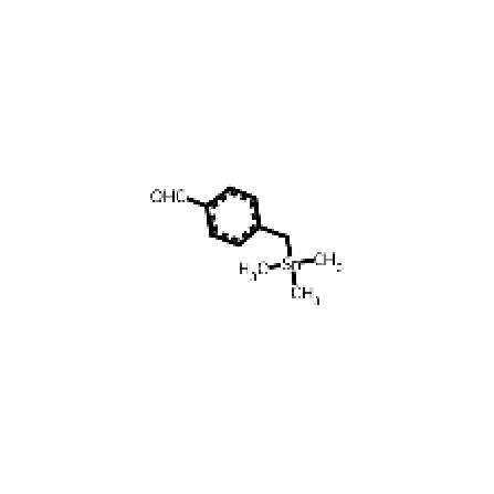 [CH3][Sn]([CH3])([CH3])[CH2]c1ccc(C=O)cc1